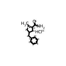 CN1CC(Cc2ccccc2)CC1C(N)=O.Cl